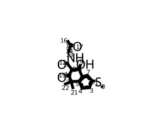 CSc1ccc2c(c1)C(O)=C(C(=O)NCC(C)=O)C(=O)C2(C)C